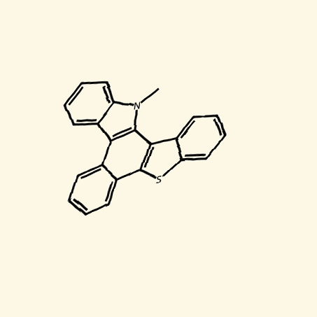 Cn1c2ccccc2c2c3ccccc3c3sc4ccccc4c3c21